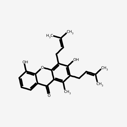 CC(C)=CCc1c(O)c(CC=C(C)C)c2oc3c(O)cccc3c(=O)c2c1C